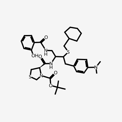 CN(C)c1ccc(CC(SCC2CCCCC2)C(CNC(=O)c2ccccc2O)NC(=O)[C@@H]2CSCN2C(=O)OC(C)(C)C)cc1